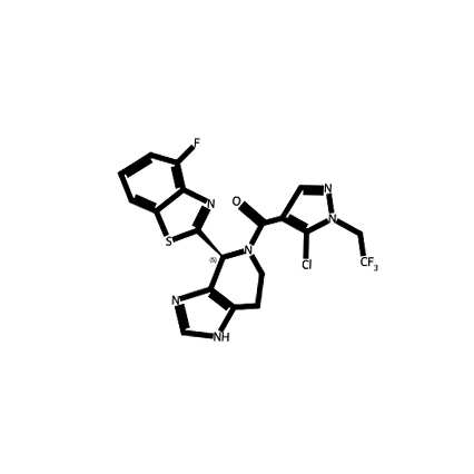 O=C(c1cnn(CC(F)(F)F)c1Cl)N1CCc2[nH]cnc2[C@H]1c1nc2c(F)cccc2s1